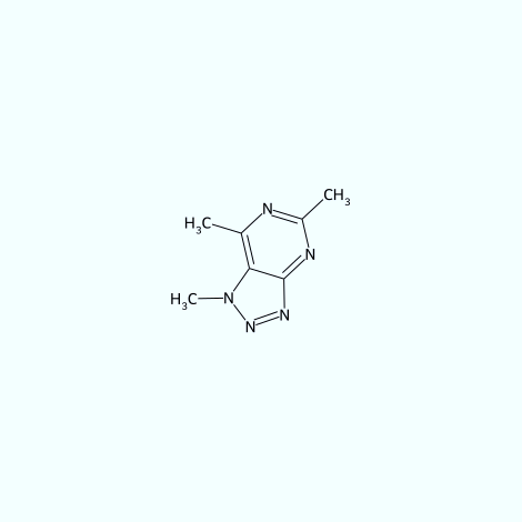 Cc1nc(C)c2c(nnn2C)n1